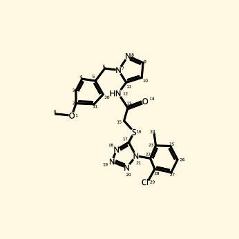 COc1ccc(Cn2nccc2NC(=O)CSc2nnnn2-c2c(C)cccc2Cl)cc1